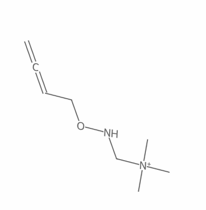 C=C=CCONC[N+](C)(C)C